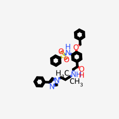 CC(C)(CCn1cnc(-c2ccccc2)c1)NCC(O)c1ccc(OCc2ccccc2)c(NS(=O)(=O)c2ccccc2)c1